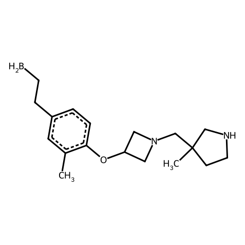 BCCc1ccc(OC2CN(CC3(C)CCNC3)C2)c(C)c1